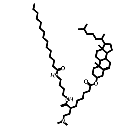 C=C(NCCCCNC(=O)CCCCCCCCCCCCCC)C(CCCCCC(=O)OC1CCC2(C)C(=CCC3C2CCC2(C)C(C(C)CCCC(C)C)CCC32)C1)CCN(C)C